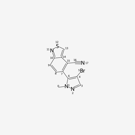 Cn1ncc(Br)c1-c1ccc2nscc2c1C#N